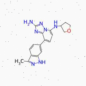 Cc1n[nH]c2cc(-c3ccc(NC4CCOC4)n4nc(N)nc34)ccc12